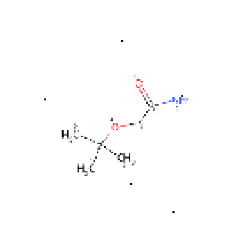 CC(C)(C)OCC([NH])=O